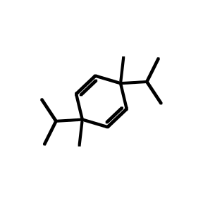 CC(C)C1(C)C=CC(C)(C(C)C)C=C1